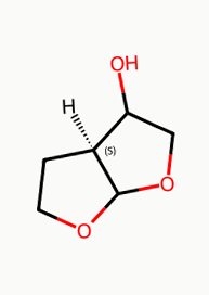 OC1COC2OCC[C@@H]12